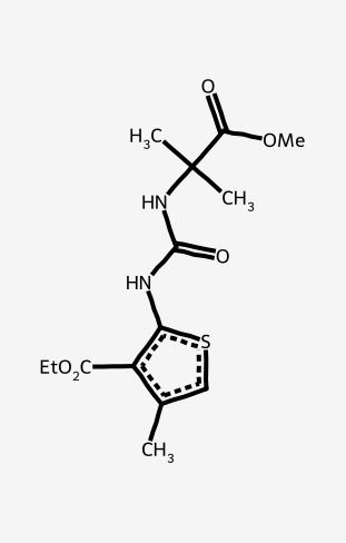 CCOC(=O)c1c(C)csc1NC(=O)NC(C)(C)C(=O)OC